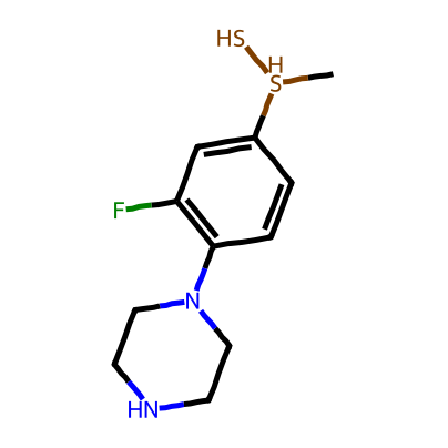 C[SH](S)c1ccc(N2CCNCC2)c(F)c1